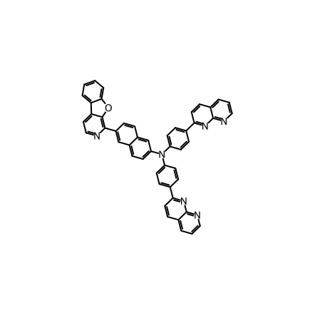 c1cnc2nc(-c3ccc(N(c4ccc(-c5ccc6cccnc6n5)cc4)c4ccc5cc(-c6nccc7c6oc6ccccc67)ccc5c4)cc3)ccc2c1